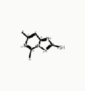 Cc1cc2nc(S)nn2c(C)n1